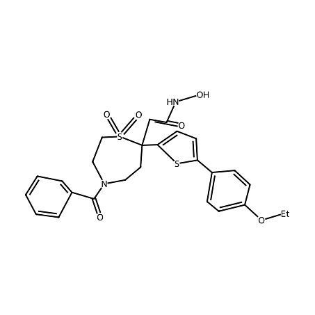 CCOc1ccc(-c2ccc(C3(CC(=O)NO)CCN(C(=O)c4ccccc4)CCS3(=O)=O)s2)cc1